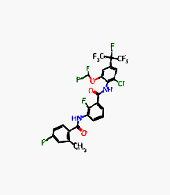 Cc1cc(F)ccc1C(=O)Nc1cccc(C(=O)Nc2c(Cl)cc(C(F)(C(F)(F)F)C(F)(F)F)cc2OC(F)F)c1F